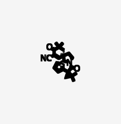 CC1(C)C[C@]2(C=C(C#N)C1=O)CCN(C(=O)C1(c3cccs3)CC1(C)C)C2